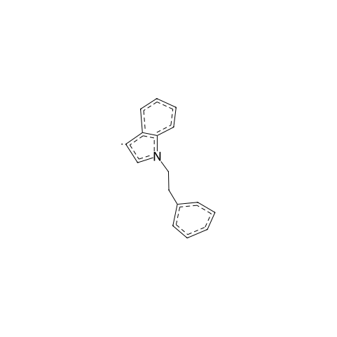 [c]1cn(CCc2ccccc2)c2ccccc12